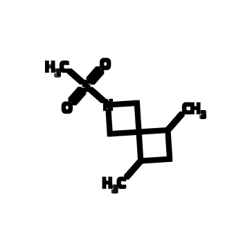 CC1CC(C)C12CN(S(C)(=O)=O)C2